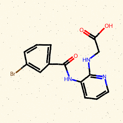 O=C(O)CNc1ncccc1NC(=O)c1cccc(Br)c1